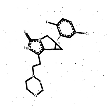 Fc1ccc(Cl)cc1[C@]12CC1c1c(CCN3CCOCC3)[nH]c(=S)n1C2